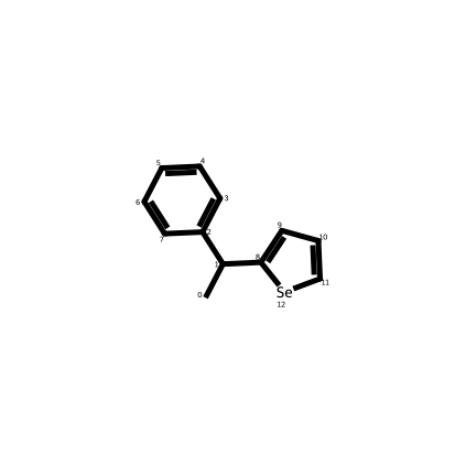 CC(c1ccccc1)c1ccc[se]1